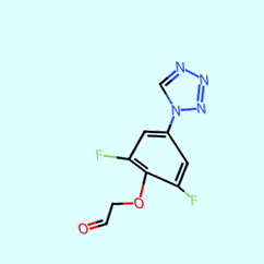 O=CCOc1c(F)cc(-n2cnnn2)cc1F